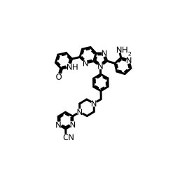 N#Cc1nccc(N2CCN(Cc3ccc(-n4c(-c5cccnc5N)nc5ccc(-c6cccc(=O)[nH]6)nc54)cc3)CC2)n1